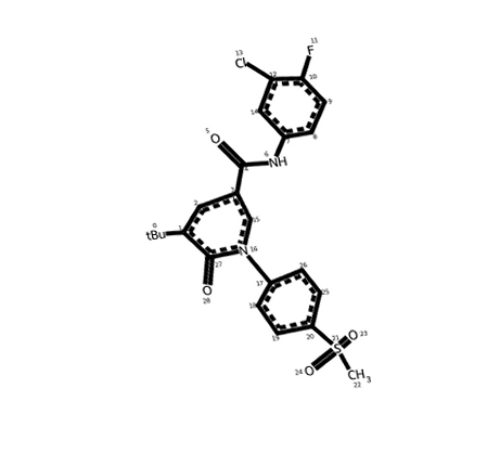 CC(C)(C)c1cc(C(=O)Nc2ccc(F)c(Cl)c2)cn(-c2ccc(S(C)(=O)=O)cc2)c1=O